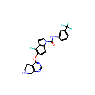 O=C(Nc1cccc(C(F)(F)F)c1)n1ccc2c(F)c(Oc3ncnc4c3CCNC4)ccc21